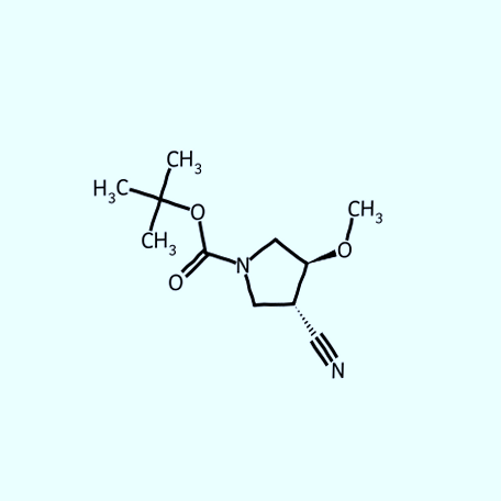 CO[C@@H]1CN(C(=O)OC(C)(C)C)C[C@H]1C#N